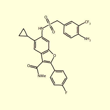 CNC(=O)c1c(-c2ccc(F)cc2)oc2cc(NS(=O)(=O)Cc3ccc(N)c(C(F)(F)F)c3)c(C3CC3)cc12